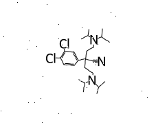 CC(C)N(CCC(C#N)(CCN(C(C)C)C(C)C)c1ccc(Cl)c(Cl)c1)C(C)C